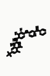 COc1c(C)cc(C(C)(C)C)cc1NC(=O)Nc1ccc(Oc2ccnc(Nc3ccccc3)c2)c(F)c1F